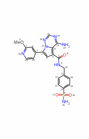 COc1cc(-c2cc(C(=O)NCc3ccc(S(N)(=O)=O)cc3)c3c(N)ncnn23)ccn1